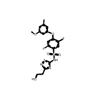 COc1cc(C)cc(Oc2cc(F)c(S(=O)(=O)Nc3nc(CCO)ns3)cc2F)c1